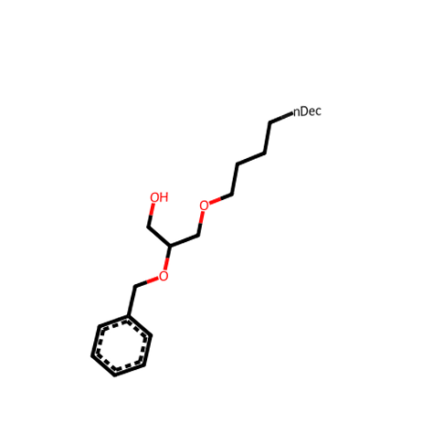 CCCCCCCCCCCCCCOCC(CO)OCc1ccccc1